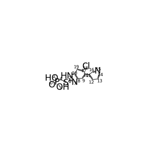 O=P(O)(O)CSc1nc2cc(-c3cccnc3)c(Cl)cc2[nH]1